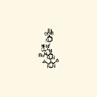 CC[C@H](C)N1c2nc(-c3c(C4CC4)ncnc3C3CC3)ncc2N=C(NCc2ccc(S(=O)(=O)CC)cn2)C1O